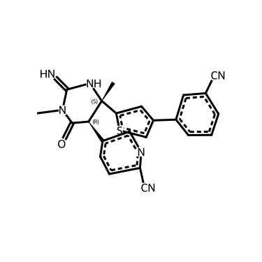 CN1C(=N)N[C@](C)(c2cc(-c3cccc(C#N)c3)cs2)[C@@H](c2ccc(C#N)nc2)C1=O